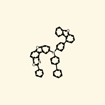 c1ccc(-c2ccc(N(c3ccc(-c4cccc5oc6ccccc6c45)cc3)c3ccc4oc5ccc6oc(-c7ccccc7)nc6c5c4c3)cc2)cc1